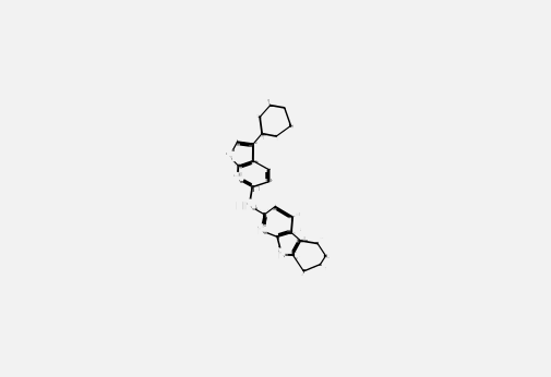 c1cc2c(C3CCCCC3)c[nH]c2nc1Nc1ccc2c3c([nH]c2n1)CCCC3